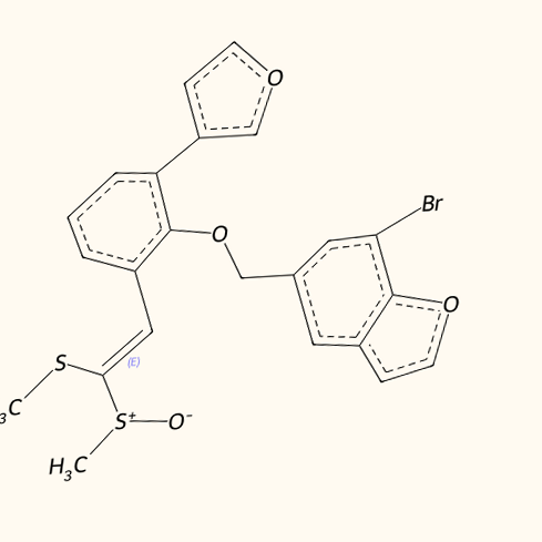 CS/C(=C\c1cccc(-c2ccoc2)c1OCc1cc(Br)c2occc2c1)[S+](C)[O-]